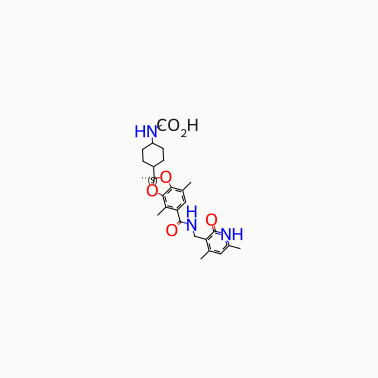 Cc1cc(C)c(CNC(=O)c2cc(C)c3c(c2C)O[C@@](C)(C2CCC(NC(=O)O)CC2)O3)c(=O)[nH]1